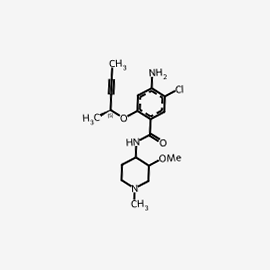 CC#C[C@H](C)Oc1cc(N)c(Cl)cc1C(=O)NC1CCN(C)CC1OC